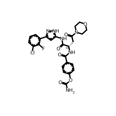 NC(=O)Oc1ccc(C(=O)N[C@@H](CC(=O)N2CCOCC2)C(=O)Nc2cc(-c3cccc(Cl)c3F)n[nH]2)cc1